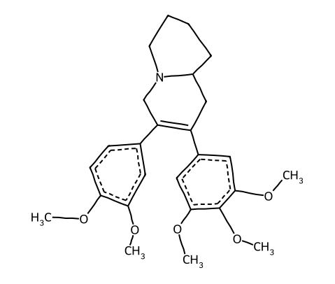 COc1ccc(C2=C(c3cc(OC)c(OC)c(OC)c3)CC3CCCCN3C2)cc1OC